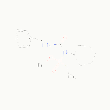 CCC(C)SP(=O)(OC(C)C)N(C(=O)NCc1ccccc1)C1CCCCC1